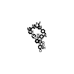 CN(CC1CCC(n2cc(-n3cc(-c4cnn5ccc(N6CCOCC6)nc45)nn3)c(C(F)F)n2)CC1)C1CCC(Nc2cccc3c2n(C)c(=O)n3C2CCC(=O)NC2=O)CC1